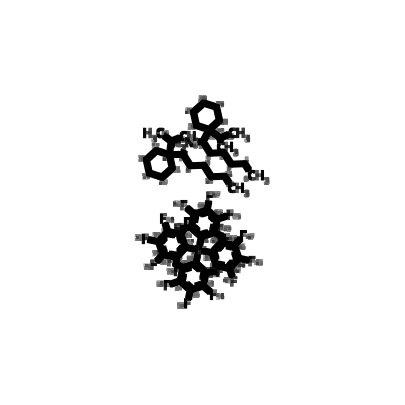 CCCCCC([NH2+]C(CCCCC)C1(C(C)C)CCCCC1)C1(C(C)C)CCCCC1.Fc1c(F)c(F)c([B-](c2c(F)c(F)c(F)c(F)c2F)(c2c(F)c(F)c(F)c(F)c2F)c2c(F)c(F)c(F)c(F)c2F)c(F)c1F